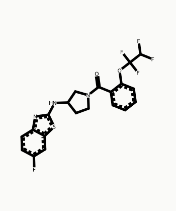 O=C(c1ccccc1OC(F)(F)C(F)F)N1CCC(Nc2nc3ccc(F)cc3s2)C1